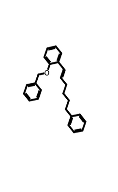 C(=C\c1ccccc1OCc1ccccc1)/CCCCc1ccccc1